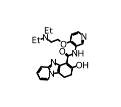 CCN(CC)CCOc1ccncc1NC(=O)C1=C(O)CCc2c1nc1ccccn21